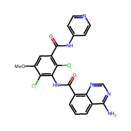 COc1cc(C(=O)Nc2ccncc2)c(Cl)c(NC(=O)c2cccc3c(N)ncnc23)c1Cl